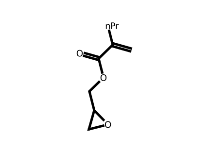 C=C(CCC)C(=O)OCC1CO1